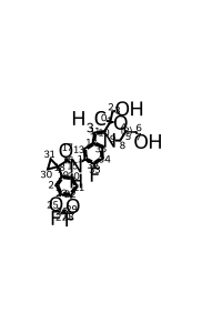 CC1(CO)O[C@@H](CO)Cn2c1cc1cc(NC(=O)C3(c4ccc5c(c4)OC(F)(F)O5)CC3)c(F)cc12